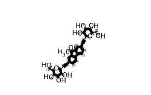 CC1(O)c2cc(C#C[C@H]3O[C@H](CO)[C@@H](O)[C@H](O)[C@@H]3O)ccc2-c2ccc(C#C[C@H]3O[C@H](CO)[C@@H](O)[C@H](O)[C@@H]3O)cc21